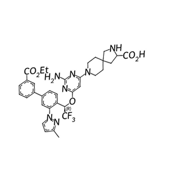 CCOC(=O)c1cccc(-c2ccc([C@@H](Oc3cc(N4CCC5(CC4)CNC(C(=O)O)C5)nc(N)n3)C(F)(F)F)c(-n3ccc(C)n3)c2)c1